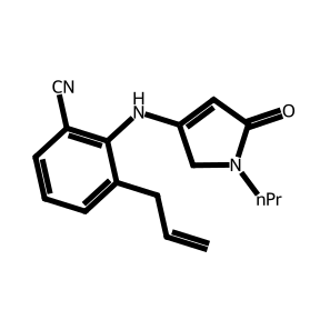 C=CCc1cccc(C#N)c1NC1=CC(=O)N(CCC)C1